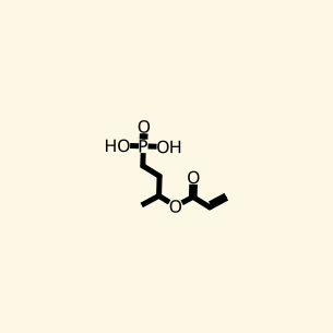 C=CC(=O)OC(C)CCP(=O)(O)O